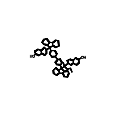 CCCC(C)(c1ccc2cc(O)ccc2c1)C1(c2ccc(-c3ccc(C4(c5ccc6cc(O)ccc6c5)c5ccccc5-c5ccccc54)cc3)cc2)c2ccccc2-c2ccccc21